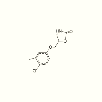 Cc1cc(OCC2CNC(=O)O2)ccc1Cl